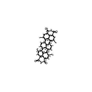 Cc1cc2c3c(cc(C)c4c5ccc6c7c(C)cc8c9c(cc(C)c(c%10ccc(c1c34)c5c%106)c97)C(=O)CC8=O)C(=O)CC2=O